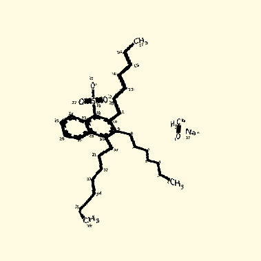 C=O.CCCCCCCc1c(CCCCCCC)c(S(=O)(=O)[O-])c2ccccc2c1CCCCCCC.[Na+]